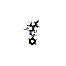 CC/C(C)=C(\C(=O)O)C(=O)/C(O)=C\N(C)c1ccccc1